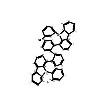 N#Cc1cccc(N2c3c(-c4ccccc4-c4ccccc4-c4cccc5c6ccccc6n(-c6ccccc6C#N)c45)cccc3C3C=CC=CC32)c1